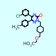 Cc1ccc(-c2nn(CC3CCC(COCC(=O)O)CC3)c(=O)nc2-c2cccc(Cl)c2)cc1